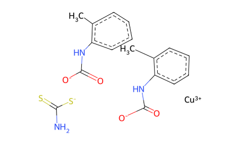 Cc1ccccc1NC(=O)[O-].Cc1ccccc1NC(=O)[O-].NC(=S)[S-].[Cu+3]